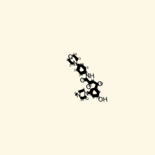 CN1CCN(c2cc(O)cc3c(=O)cc(C(=O)Nc4ccc(N5CCOCC5)cc4)oc23)CC1